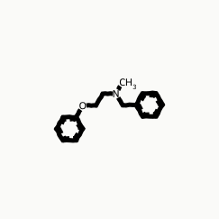 CN(CCOc1ccccc1)Cc1ccccc1